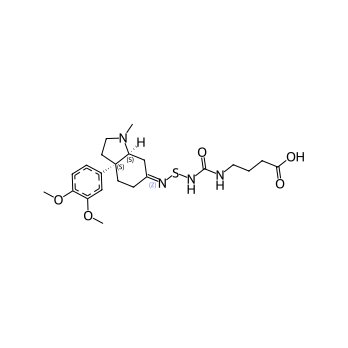 COc1ccc([C@@]23CC/C(=N/SNC(=O)NCCCC(=O)O)C[C@@H]2N(C)CC3)cc1OC